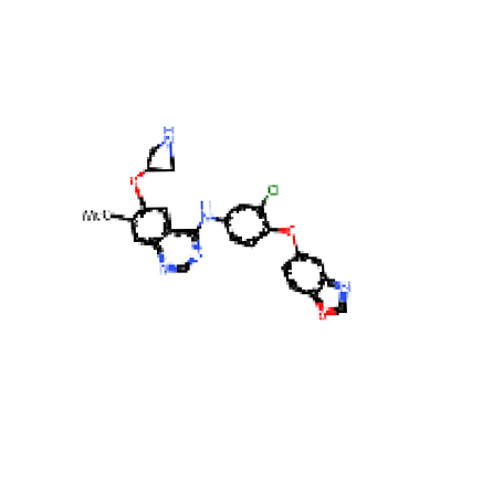 COc1cc2ncnc(Nc3ccc(Oc4ccc5ocnc5c4)c(Cl)c3)c2cc1OC1CNC1